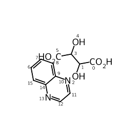 O=C(O)C(O)C(O)C(=O)O.c1ccc2nccnc2c1